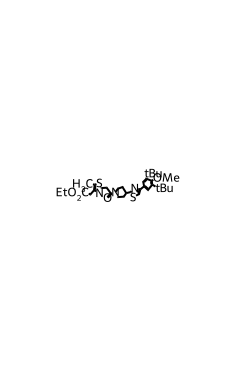 CCOC(=O)Cc1nc(CC(=O)N2CCC(c3nc(-c4cc(C(C)(C)C)c(OC)c(C(C)(C)C)c4)cs3)CC2)sc1C